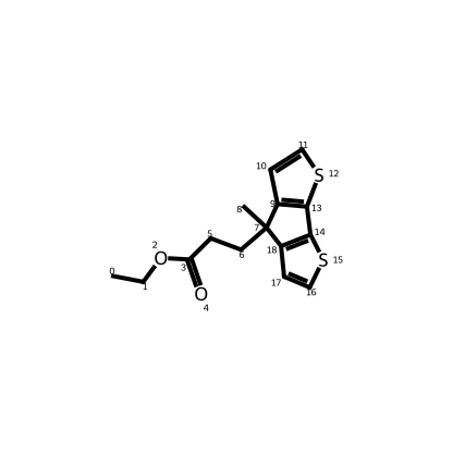 CCOC(=O)CCC1(C)c2ccsc2-c2sccc21